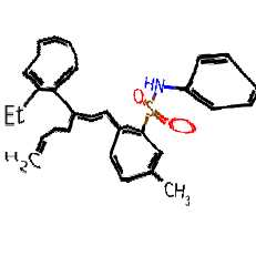 C=CCC(=Cc1ccc(C)cc1S(=O)(=O)Nc1ccccc1)c1ccccc1CC